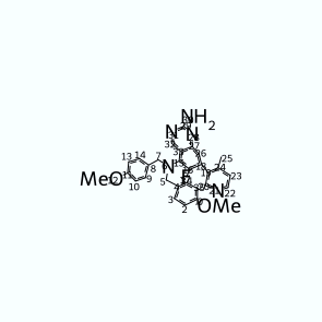 COc1ccc(CN(Cc2ccc(OC)cc2)c2c(F)c(-c3cnccc3C)cc3nc(N)ncc23)cc1